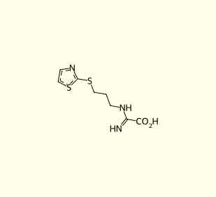 N=C(NCCCSc1nccs1)C(=O)O